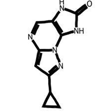 O=c1[nH]c2cnc3cc(C4CC4)nn3c2[nH]1